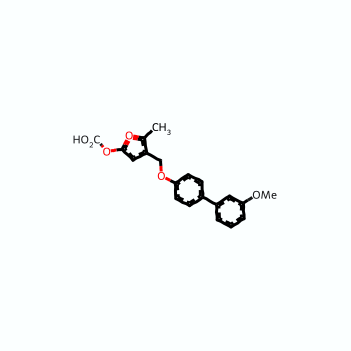 COc1cccc(-c2ccc(OCc3cc(OC(=O)O)oc3C)cc2)c1